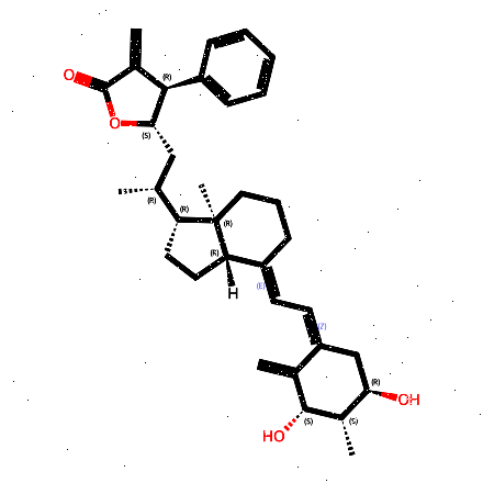 C=C1/C(=C\C=C2/CCC[C@]3(C)[C@@H]([C@H](C)C[C@@H]4OC(=O)C(=C)[C@H]4c4ccccc4)CC[C@@H]23)C[C@@H](O)[C@H](C)[C@@H]1O